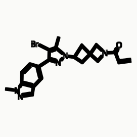 C=CC(=O)N1CC2(CC(n3nc(-c4ccc5c(cnn5C)c4)c(Br)c3C)C2)C1